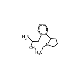 CCN1CCCC1c1ccccc1CC(C)N